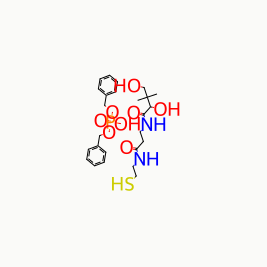 CC(C)(CO)C(O)C(=O)NCCC(=O)NCCS.O=P(O)(OCc1ccccc1)OCc1ccccc1